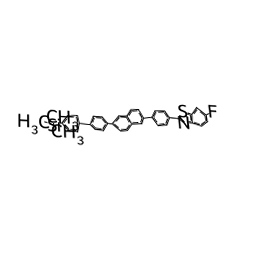 C[Si](C)(C)c1ccc(-c2ccc(-c3ccc4cc(-c5ccc(-c6nc7ccc(F)cc7s6)cc5)ccc4c3)cc2)cc1